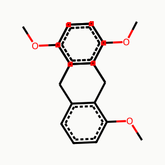 COc1cccc2c1C1c3cccc(OC)c3C2c2c(OC)cccc21